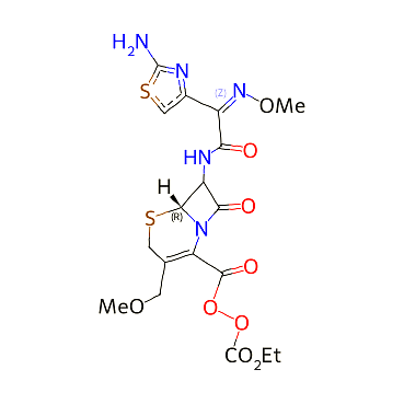 CCOC(=O)OOC(=O)C1=C(COC)CS[C@@H]2C(NC(=O)/C(=N\OC)c3csc(N)n3)C(=O)N12